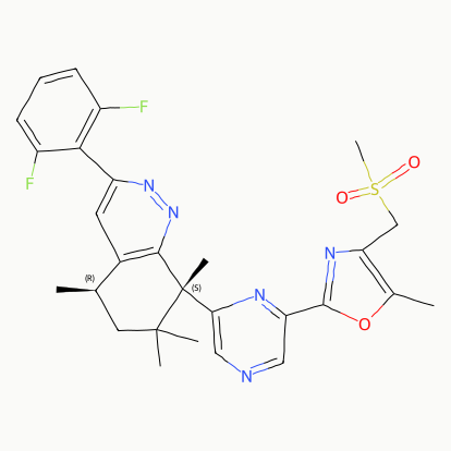 Cc1oc(-c2cncc([C@@]3(C)c4nnc(-c5c(F)cccc5F)cc4[C@H](C)CC3(C)C)n2)nc1CS(C)(=O)=O